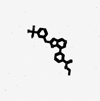 CCOC(=O)c1cccc(-c2cncc3cc(Cc4cccc(C(F)(F)F)c4)oc23)c1